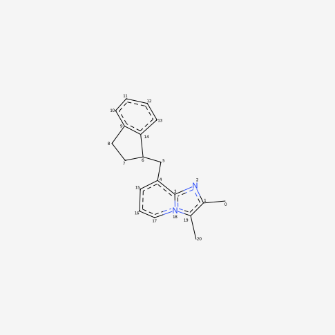 Cc1nc2c(CC3CCc4ccccc43)cccn2c1C